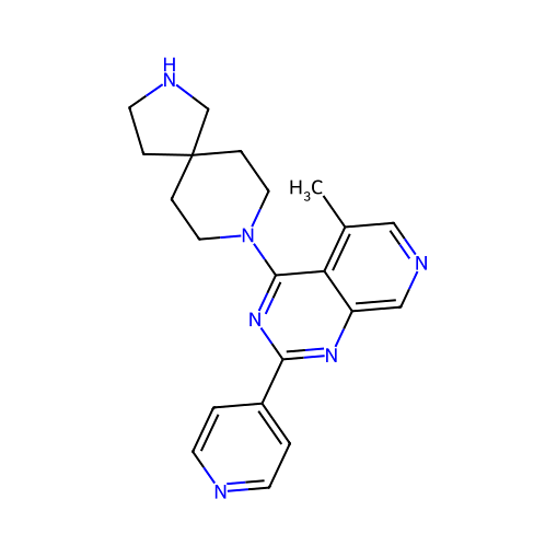 Cc1cncc2nc(-c3ccncc3)nc(N3CCC4(CCNC4)CC3)c12